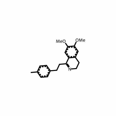 COc1cc2c(cc1OC)C(CCc1ccc(C)cc1)=NCC2